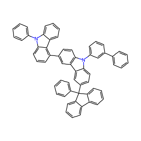 c1ccc(-c2cccc(-n3c4ccc(-c5cccc6c5c5ccccc5n6-c5ccccc5)cc4c4cc(C5(c6ccccc6)c6ccccc6-c6ccccc65)ccc43)c2)cc1